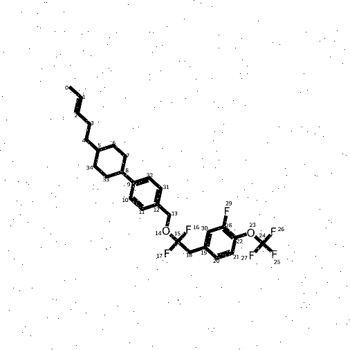 CC=CCCC1CCC(c2ccc(COC(F)(F)Cc3ccc(OC(F)(F)F)c(F)c3)cc2)CC1